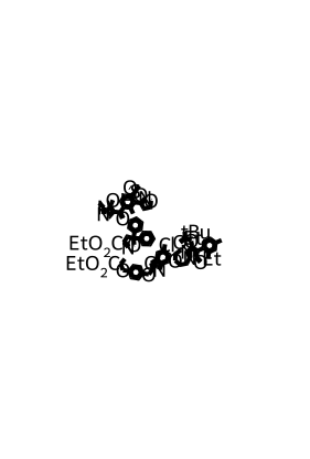 CCOC(=O)C(C)Oc1ccc(Oc2nc3ccc(Cl)cc3o2)cc1.CCOC(=O)C1=NOC(c2ccccc2)(c2ccccc2)C1.CCc1cc(C)cc(CC)c1-c1c(OC(=O)C(C)(C)C)n2n(c1=O)CCOCC2.Cc1c(C(=O)c2cnn(C)c2O)ccc(S(C)(=O)=O)c1C1=NOCC1